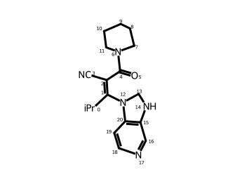 CC(C)C(=C(C#N)C(=O)N1CCCCC1)N1CNc2cnccc21